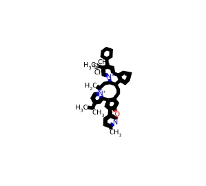 C=C1CC2C(CCc3cc4oc5nc(C)ccc5c4cc3-c3cc(C(C)C)cc[n+]31)c1ccccc1-c1cc(C3CCCCC3)c([Si](C)(C)C)c[n+]12